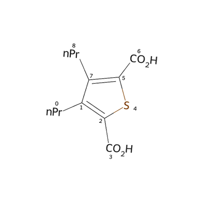 CCCc1c(C(=O)O)sc(C(=O)O)c1CCC